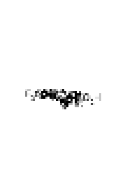 CCN(CC(=O)O)c1cc2onc(CCc3sc(-c4ccc(C(F)(F)F)cc4)nc3C(C)C)c2cc1C